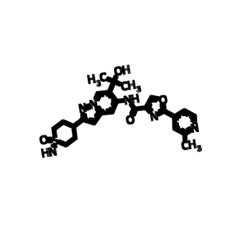 Cc1cc(-c2nc(C(=O)Nc3cc4cc(C5CCS(=N)(=O)CC5)nn4cc3C(C)(C)O)co2)ccn1